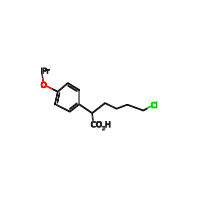 CC(C)Oc1ccc(C(CCCCCl)C(=O)O)cc1